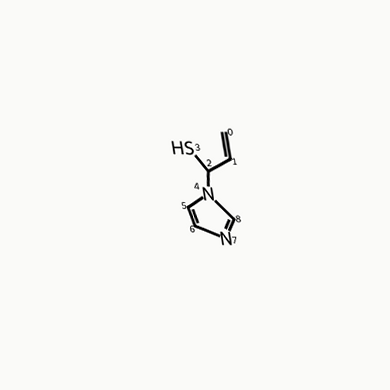 C=CC(S)n1ccnc1